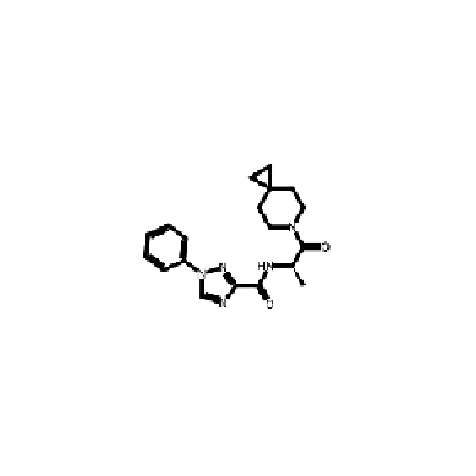 C[C@@H](NC(=O)c1ncn(-c2ccccc2)n1)C(=O)N1CCC2(CC1)CC2